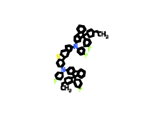 C=CC1=CCC(C2(c3ccc(F)cc3)c3ccccc3-c3ccc(N(c4ccc(F)cc4)c4ccc5c(c4)=CC4C(C=5)SC5C=CC(N(c6ccc7c(c6)C(C6=CCC(C=C)C=C6)(C6C=CC(F)=CC6)c6ccccc6-7)C6C=CC(F)=CC6)=CC54)cc32)C=C1